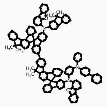 CC1(C)c2ccccc2-c2ccc(N(c3ccc4c(c3)C3(c5ccc(-c6ccc7c(c6)C(C)(C)c6ccc8c(c6-7)-c6ccccc6C86c7ccccc7-c7ccc(N(c8cccc(N(c9ccccc9)c9ccc(-c%10ccccc%10)cc9)c8)c8cccc9c8oc8ccccc89)cc76)cc5-4)c4ccccc4-c4c3ccc3c4-c4ccccc4C3(C)C)c3cccc4c3oc3ccccc34)cc21